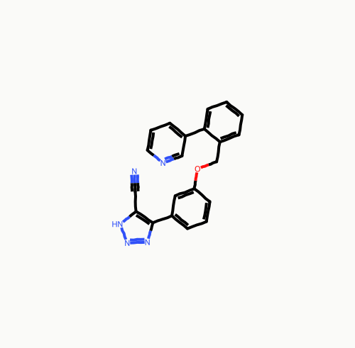 N#Cc1[nH]nnc1-c1cccc(OCc2ccccc2-c2cccnc2)c1